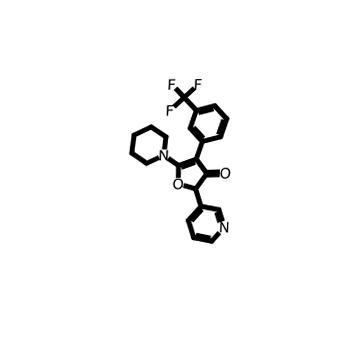 O=C1C(c2cccc(C(F)(F)F)c2)=C(N2CCCCC2)OC1c1cccnc1